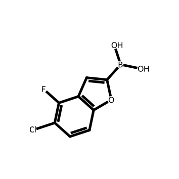 OB(O)c1cc2c(F)c(Cl)ccc2o1